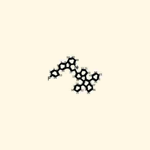 Fc1ccc(-c2ccc3c(c2)-c2cc(-c4ccc5c6c(cccc46)-c4c-5c(-c5ccccc5)c5ccccc5c4-c4ccccc4)nc4cccc-3c24)cc1